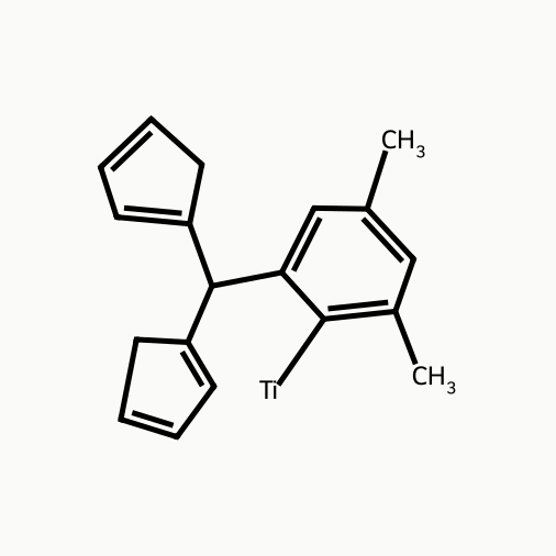 Cc1cc(C)[c]([Ti])c(C(C2=CC=CC2)C2=CC=CC2)c1